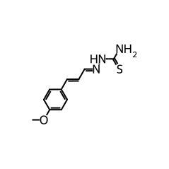 COc1ccc(/C=C/C=N/NC(N)=S)cc1